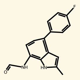 Cc1cc2c(-c3ccc(F)cc3)ccc(NC=O)c2[nH]1